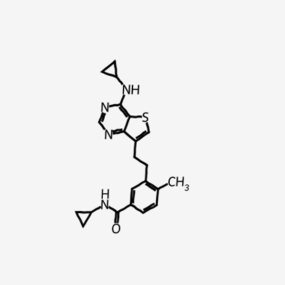 Cc1ccc(C(=O)NC2CC2)cc1CCc1csc2c(NC3CC3)ncnc12